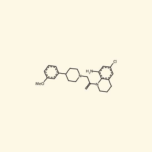 C=C(CN1CCC(c2cccc(OC)c2)CC1)N1CCCc2cc(Cl)cc(N)c21